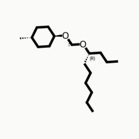 CCCCCC[C@@H](CCC)O[C]O[C@H]1CC[C@H](C)CC1